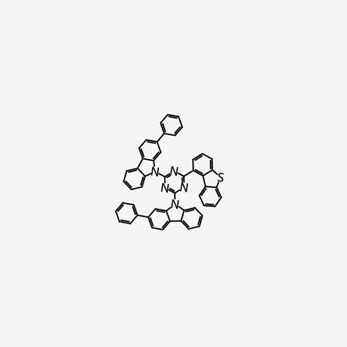 c1ccc(-c2ccc3c4ccccc4n(-c4nc(-c5cccc6sc7ccccc7c56)nc(-n5c6ccccc6c6ccc(-c7ccccc7)cc65)n4)c3c2)cc1